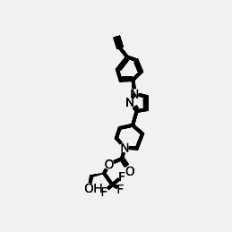 C#Cc1ccc(-n2ccc(C3CCN(C(=O)O[C@H](CO)C(F)(F)F)CC3)n2)cc1